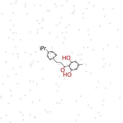 Cc1cc(O)c(C(=O)CCc2ccc(C(C)C)cc2)c(O)c1